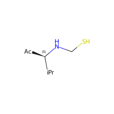 CC(=O)[C@@H](NCS)C(C)C